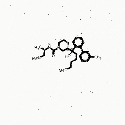 CNCC(C)NC(=O)N1CCC[C@@H]([C@@](O)(CCCCOC)c2ccccc2-c2cccc(C)c2)C1